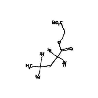 [2H]C([2H])(C)CC([2H])([2H])C(=O)OCC(=O)OCC